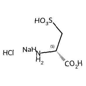 Cl.N[C@H](CS(=O)(=O)O)C(=O)O.[NaH]